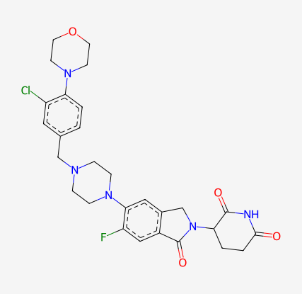 O=C1CCC(N2Cc3cc(N4CCN(Cc5ccc(N6CCOCC6)c(Cl)c5)CC4)c(F)cc3C2=O)C(=O)N1